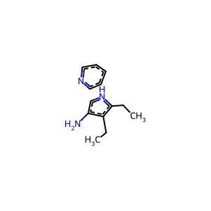 CCc1[nH]cc(N)c1CC.c1ccncc1